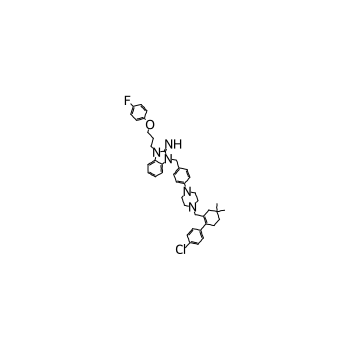 CC1(C)CCC(c2ccc(Cl)cc2)=C(CN2CCN(c3ccc(Cn4c(=N)n(CCCOc5ccc(F)cc5)c5ccccc54)cc3)CC2)C1